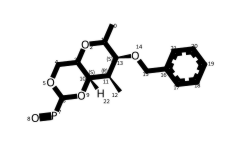 CC1OC2COC(P=O)O[C@H]2[C@H](C)[C@@H]1OCc1ccccc1